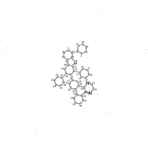 c1ccc(-c2cccc3c2oc2c(-c4ccccc4)cc(-c4ccccc4-c4ccc5c(c4)c4ccccc4c4nccnc54)cc23)cc1